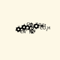 CCCc1c(C(C)c2ccc(-c3ccccc3C#N)cc2)c(=O)n([C@H]2CC[C@H](OC(CC)C(=O)O)CC2)c2ncnn12